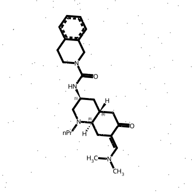 CCCN1C[C@@H](NC(=O)N2CCc3ccccc3C2)C[C@@H]2CC(=O)C(=CN(C)C)C[C@H]21